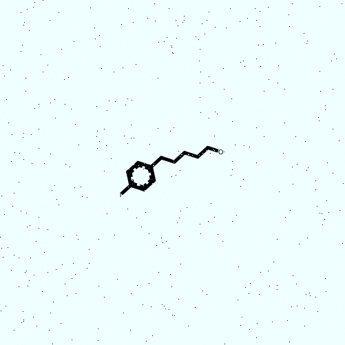 [O]CCCCCc1ccc(I)cc1